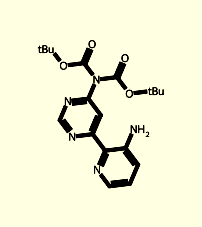 CC(C)(C)OC(=O)N(C(=O)OC(C)(C)C)c1cc(-c2ncccc2N)ncn1